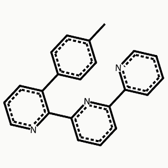 Cc1ccc(-c2cccnc2-c2cccc(-c3ccccn3)n2)cc1